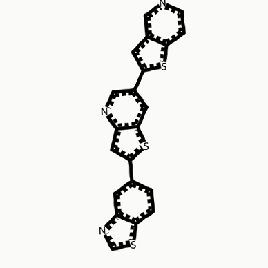 c1cc2sc(-c3cnc4cc(-c5ccc6scnc6c5)sc4c3)cc2cn1